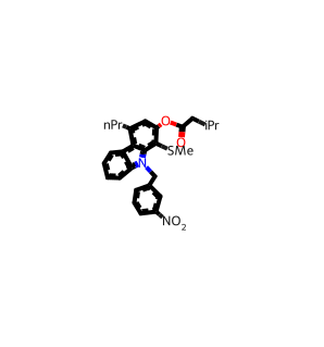 CCCc1cc(OC(=O)CC(C)C)c(SC)c2c1c1ccccc1n2Cc1cccc([N+](=O)[O-])c1